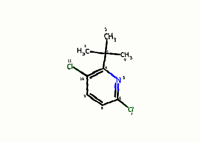 CC(C)(C)c1nc(Cl)ccc1Cl